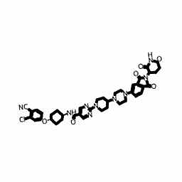 N#Cc1ccc(O[C@H]2CC[C@H](NC(=O)c3cnc(N4CCC(N5CCN(c6ccc7c(c6)C(=O)N(C6CCC(=O)NC6=O)C7=O)CC5)CC4)nc3)CC2)cc1Cl